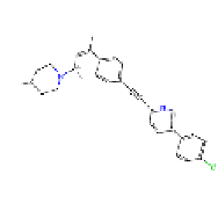 CC(=C[C@H](C)N1CCC(C)CC1)c1ccc(C#Cc2ccc(-c3ccc(Cl)cc3)cn2)cc1